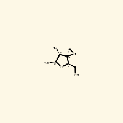 B[C@@H]1O[C@H](CO)[C@@]2(CO2)[C@H]1O